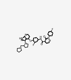 O=C(Nc1ccc(Oc2ccnc3[nH]nc(N4CCCC4CN4CCCC4)c23)c(F)c1)c1ccnn(-c2ccc(F)cc2)c1=O